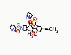 CC#Cc1cc(C)c(C2=C(OS(=O)(=O)c3ccccn3)CC3(CCN(S(=O)(=O)c4ccccn4)CC3)CC2=O)c(C)c1